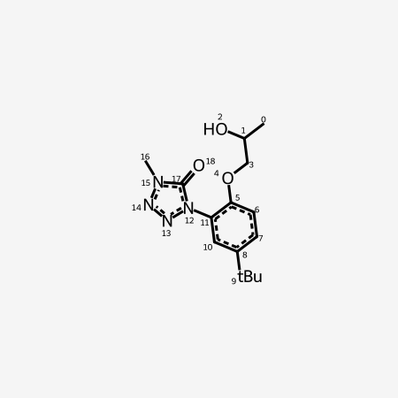 CC(O)COc1ccc(C(C)(C)C)cc1-n1nnn(C)c1=O